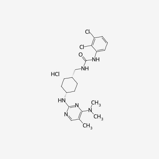 Cc1cnc(N[C@H]2CC[C@@H](CNC(=O)Nc3cccc(Cl)c3Cl)CC2)nc1N(C)C.Cl